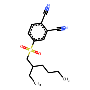 CCCCC(CC)CS(=O)(=O)c1ccc(C#N)c(C#N)c1